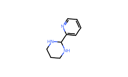 c1ccc(C2NCCCN2)nc1